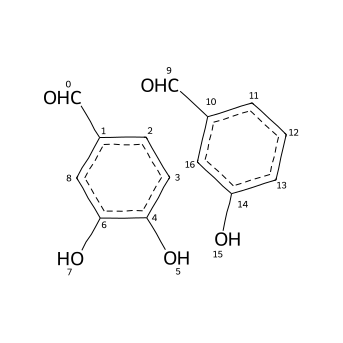 O=Cc1ccc(O)c(O)c1.O=Cc1cccc(O)c1